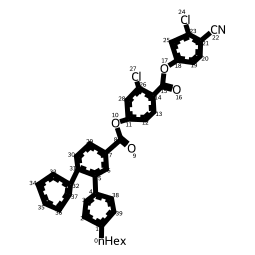 CCCCCCc1ccc(-c2cc(C(=O)Oc3ccc(C(=O)Oc4ccc(C#N)c(Cl)c4)c(Cl)c3)ccc2-c2ccccc2)cc1